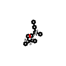 c1ccc(-c2ccc(-c3cc(-c4cccc(-n5c6ccccc6c6sc7c8ccccc8nc(-c8ccccc8)c7c65)c4)nc(-c4ccccc4)n3)cc2)cc1